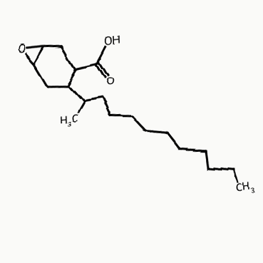 CCCCCCCCCCC(C)C1CC2OC2CC1C(=O)O